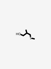 CSCC(C)CO